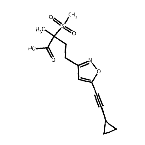 CC(CCc1cc(C#CC2CC2)on1)(C(=O)O)S(C)(=O)=O